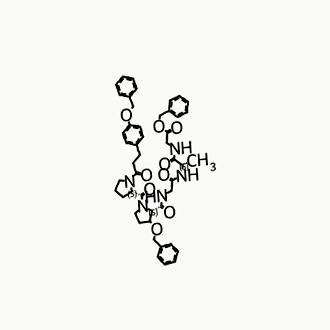 C[C@H](NC(=O)CNC(=O)[C@@H]1C(OCc2ccccc2)CCN1C(=O)[C@@H]1CCCN1C(=O)CCc1ccc(OCc2ccccc2)cc1)C(=O)NCC(=O)OCc1ccccc1